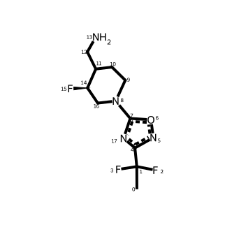 CC(F)(F)c1noc(N2CCC(CN)[C@H](F)C2)n1